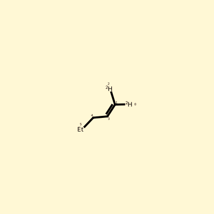 [2H]C([2H])=CCCC